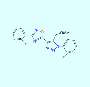 COCc1c(-c2nc(-c3ccccc3F)no2)nnn1-c1ccccc1F